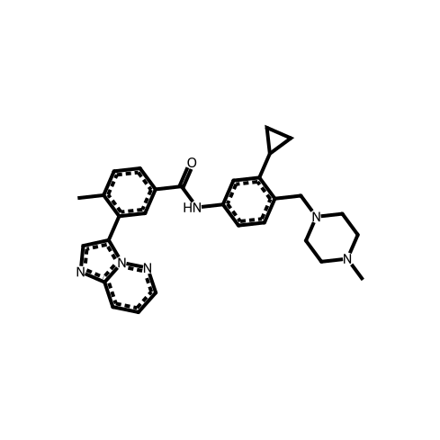 Cc1ccc(C(=O)Nc2ccc(CN3CCN(C)CC3)c(C3CC3)c2)cc1-c1cnc2cccnn12